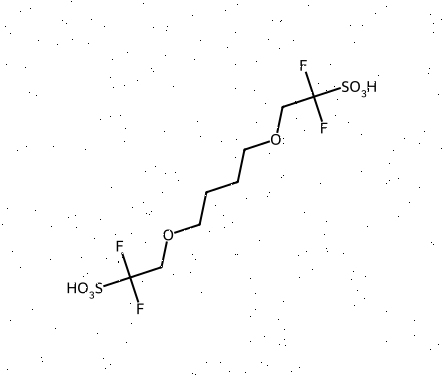 O=S(=O)(O)C(F)(F)COCCCCOCC(F)(F)S(=O)(=O)O